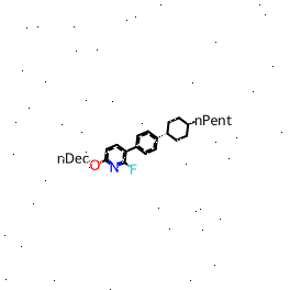 CCCCCCCCCCOc1ccc(-c2ccc([C@H]3CC[C@H](CCCCC)CC3)cc2)c(F)n1